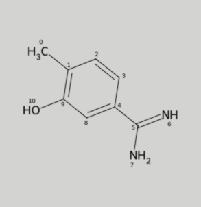 Cc1ccc(C(=N)N)cc1O